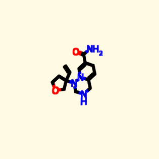 C=CC1(N2CNCC3=CCC(C(N)=O)=CN32)CCOC1